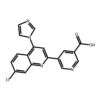 O=C(O)c1cncc(-c2cc(-n3ccnc3)c3ccc(Cl)cc3n2)c1